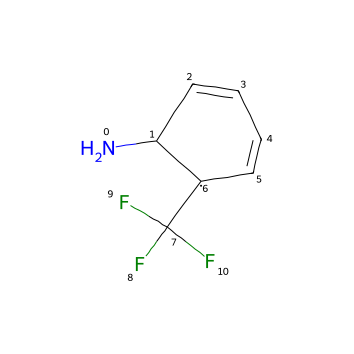 NC1C=CC=C[C]1C(F)(F)F